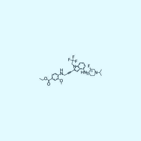 CCOC(=O)c1ccc(NCC#Cc2cc3c(N[C@@H]4CCN(C(C)C)C[C@@H]4F)cccc3n2CC(F)(F)F)c(OC)c1